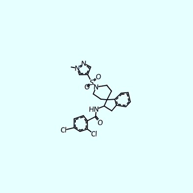 Cn1cc(S(=O)(=O)N2CCC3(CC2)c2ccccc2CC3NC(=O)c2ccc(Cl)cc2Cl)cn1